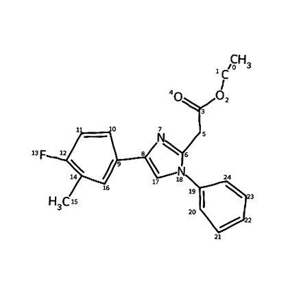 CCOC(=O)Cc1nc(-c2ccc(F)c(C)c2)cn1-c1ccccc1